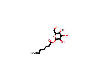 CCCCCCCCCCCCCCCC(=O)OC1OC(CO)C(O)C(O)C1O